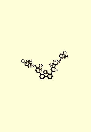 COc1nc(-c2cccc(-c3cccc(-c4cnc5c(CNCC6CCC(=O)N6)cn(C)c5c4)c3Cl)c2Cl)ccc1CNCC1CCC(=O)N1